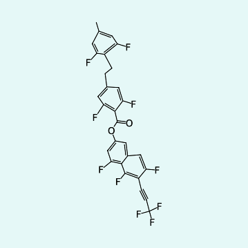 Cc1cc(F)c(CCc2cc(F)c(C(=O)Oc3cc(F)c4c(F)c(C#CC(F)(F)F)c(F)cc4c3)c(F)c2)c(F)c1